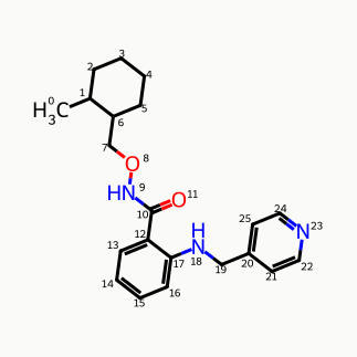 CC1CCCCC1CONC(=O)c1ccccc1NCc1ccncc1